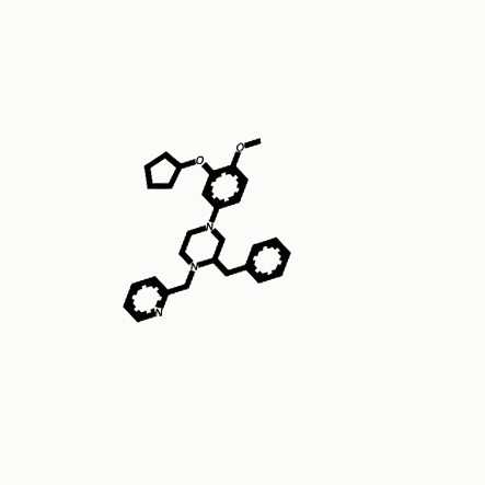 COc1ccc(N2CCN(Cc3ccccn3)C(Cc3ccccc3)C2)cc1OC1CCCC1